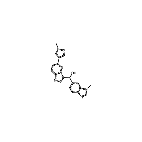 Cn1cc(-c2ccc3ncc(C(O)c4ccc5ncn(C)c5c4)n3n2)cn1